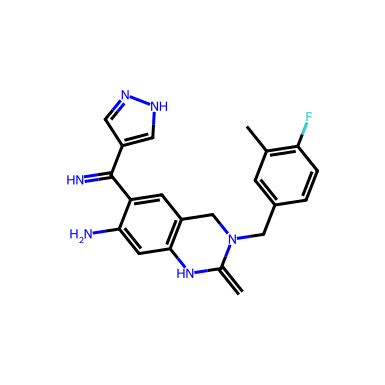 C=C1Nc2cc(N)c(C(=N)c3cn[nH]c3)cc2CN1Cc1ccc(F)c(C)c1